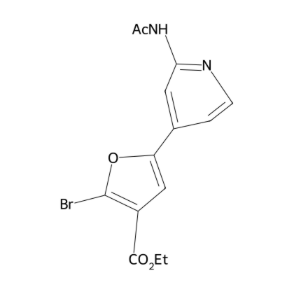 CCOC(=O)c1cc(-c2ccnc(NC(C)=O)c2)oc1Br